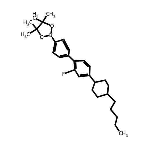 CCCCCC1CCC(c2ccc(-c3ccc(B4OC(C)(C)C(C)(C)O4)cc3)c(F)c2)CC1